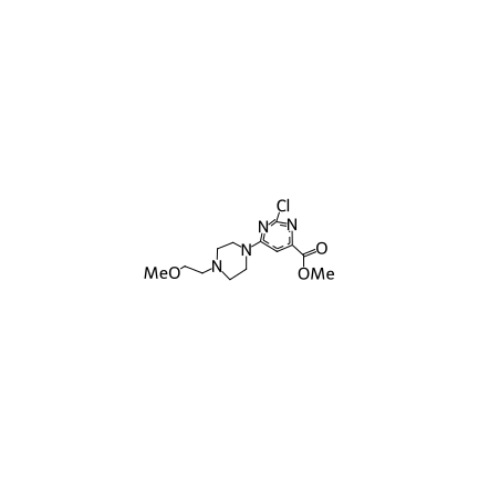 COCCN1CCN(c2cc(C(=O)OC)nc(Cl)n2)CC1